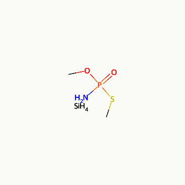 COP(N)(=O)SC.[SiH4]